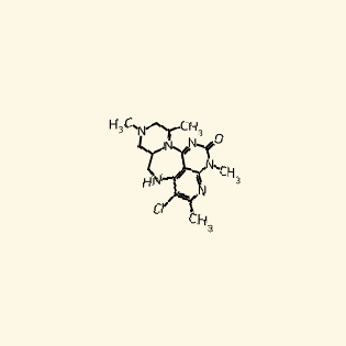 Cc1nc2c3c(nc(=O)n2C)N2C(C)CN(C)CC2CNc3c1Cl